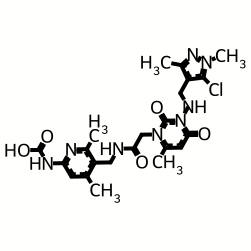 Cc1cc(NC(=O)O)nc(C)c1CNC(=O)Cn1c(C)cc(=O)n(NCc2c(C)nn(C)c2Cl)c1=O